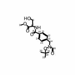 COC(=O)C(CO)NC(=O)c1ccc(CN(C=O)OC(C)(C)C)cc1